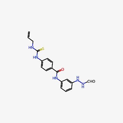 C=CCNC(=S)Nc1ccc(C(=O)Nc2cccc(NNC=O)c2)cc1